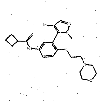 Cn1ncc(Br)c1-c1cc(NC(=O)C2CCC2)ccc1OCCN1CCOCC1